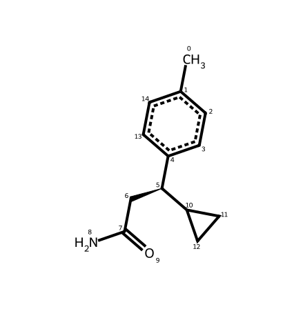 Cc1ccc([C@H](CC(N)=O)C2CC2)cc1